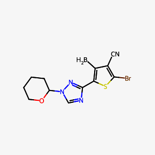 Bc1c(-c2ncn(C3CCCCO3)n2)sc(Br)c1C#N